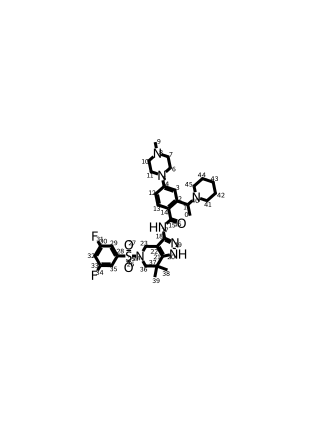 CC(c1cc(N2CCN(C)CC2)ccc1C(=O)Nc1n[nH]c2c1CN(S(=O)(=O)c1cc(F)cc(F)c1)CC2(C)C)N1CCCCC1